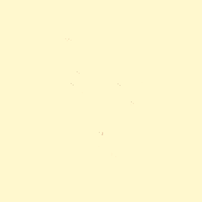 COc1ccc2c(-c3ccnc(Cl)n3)c(-c3cccc(NC(=O)C(F)(F)F)c3)nn2c1